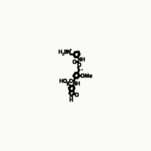 BN(C)Cc1cccc(NC(=O)OC[C@H](C)c2ccc(C(Nc3cc4c(cc3F)CNC4=O)C(=O)O)cc2OC)c1